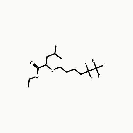 CCOC(=O)C(CC(C)C)SCCCCC(F)(F)C(F)(F)F